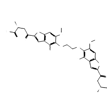 COc1cc2sc(C(=O)C[C@H](C)C(=O)O)cc2c(F)c1OCCOc1c(OC)cc2sc(C(=O)C[C@H](C)C(=O)O)cc2c1F